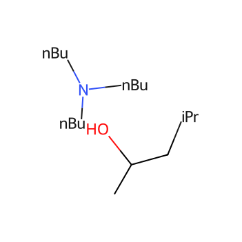 CC(C)CC(C)O.CCCCN(CCCC)CCCC